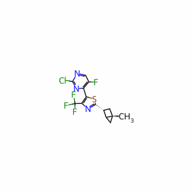 C[C@@]12CC1[C@H](c1nc(C(F)(F)F)c(-c3nc(Cl)ncc3F)s1)C2